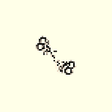 O=S(=O)(NCCSSNS(=O)(=O)c1cccc2cccnc12)c1cccc2cccnc12